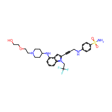 NS(=O)(=O)c1ccc(NCC#Cc2cc3c(NC4CCN(CCOCCO)CC4)cccc3n2CC(F)(F)F)cc1